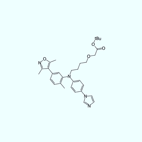 Cc1ccc(-c2c(C)noc2C)cc1N(CCCCOCC(=O)OC(C)(C)C)c1ccc(-n2ccnc2)cc1